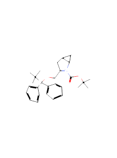 CC(C)(C)OC(=O)N1C(CO[Si](c2ccccc2)(c2ccccc2)C(C)(C)C)CC2CC21